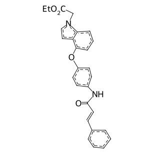 CCOC(=O)Cn1ccc2c(Oc3ccc(NC(=O)/C=C/c4ccccc4)cc3)cccc21